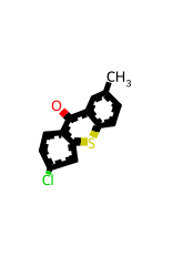 Cc1ccc2sc3cc(Cl)ccc3c(=O)c2c1